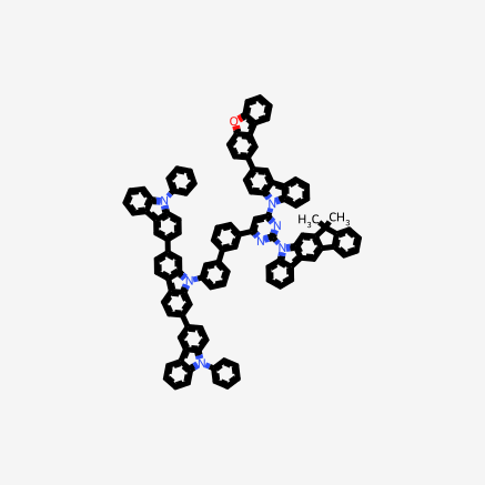 CC1(C)c2ccccc2-c2cc3c4ccccc4n(-c4nc(-c5cccc(-c6cccc(-n7c8cc(-c9ccc%10c(c9)c9ccccc9n%10-c9ccccc9)ccc8c8ccc(-c9ccc%10c(c9)c9ccccc9n%10-c9ccccc9)cc87)c6)c5)cc(-n5c6ccccc6c6cc(-c7ccc8oc9ccccc9c8c7)ccc65)n4)c3cc21